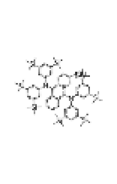 CC(C)(C)c1ccc2c(N(c3cc([Si](C)(C)C)cc([Si](C)(C)C)c3)c3cc([Si](C)(C)C)cc([Si](C)(C)C)c3)c3ccccc3c(N(c3cc([Si](C)(C)C)cc([Si](C)(C)C)c3)c3cc([Si](C)(C)C)cc([Si](C)(C)C)c3)c2c1